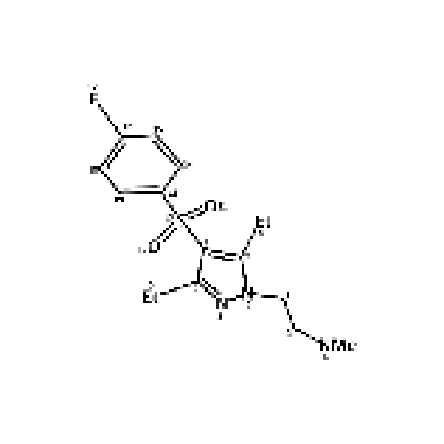 CCc1nn(CCNC)c(CC)c1S(=O)(=O)c1ccc(F)cc1